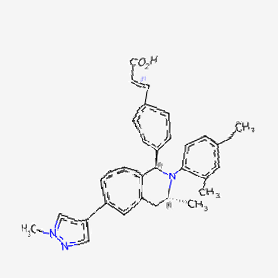 Cc1ccc(N2[C@H](c3ccc(/C=C/C(=O)O)cc3)c3ccc(-c4cnn(C)c4)cc3C[C@H]2C)c(C)c1